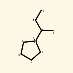 [CH2]CC(C)N1CCCC1